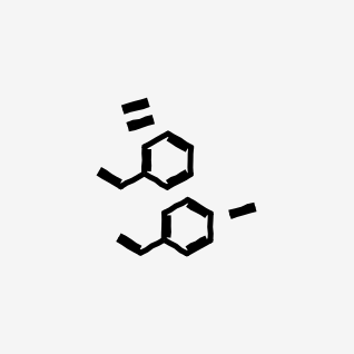 C=C.C=C.C=C.C=Cc1ccccc1.C=Cc1ccccc1